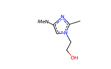 CNc1cn(CCO)c(C)n1